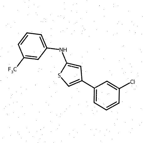 FC(F)(F)c1cccc(Nc2cc(-c3cccc(Cl)c3)cs2)c1